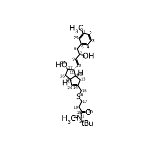 Cc1cccc(C[C@@H](O)/C=C/[C@@H]2[C@H]3CC(CSCCC(=O)N(C)C(C)(C)C)=C[C@H]3C[C@H]2O)c1